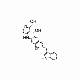 OCc1cc(Nc2cc(Br)c(NCCc3c[nH]c4ccccc34)cc2CO)ccn1